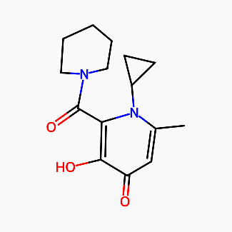 Cc1cc(=O)c(O)c(C(=O)N2CCCCC2)n1C1CC1